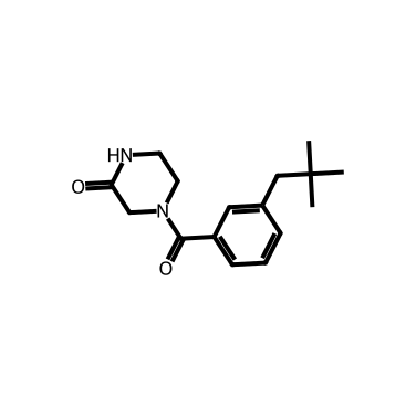 CC(C)(C)Cc1cccc(C(=O)N2CCNC(=O)C2)c1